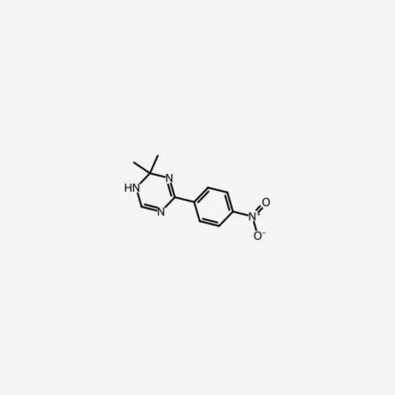 CC1(C)N=C(c2ccc([N+](=O)[O-])cc2)N=CN1